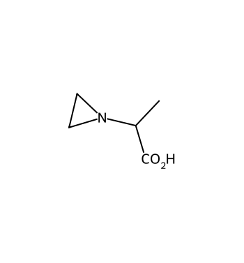 CC(C(=O)O)N1CC1